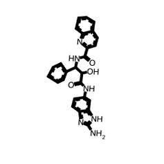 Nc1nc2ccc(NC(=O)C(O)C(NC(=O)c3ccc4ccccc4n3)c3ccccc3)cc2[nH]1